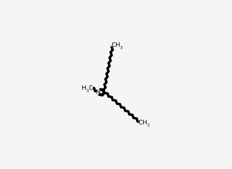 CCCCCCCCCCCCCCCCCc1cc[n+](CCC)cc1CCCCCCCCCCCCCCCCC